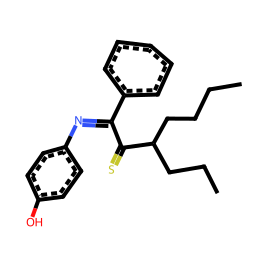 CCCCC(CCC)C(=S)C(=Nc1ccc(O)cc1)c1ccccc1